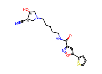 N#C[C@@H]1CN(CCCCCNC(=O)c2cc(-c3cccs3)on2)C[C@@H]1O